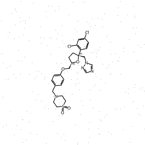 O=S1(=O)CCN(Cc2ccc(OC[C@H]3CC[C@](Cn4cncn4)(c4ccc(Cl)cc4Cl)O3)cc2)CC1